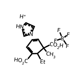 CCC1C(C(=O)O)=CC=CC1(C)C(=O)O.F[B-](F)(F)F.[H+].c1c[nH]cn1